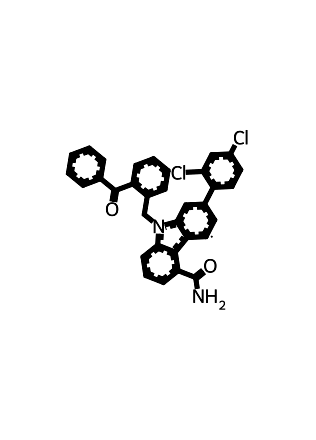 NC(=O)c1cccc2c1c1[c]cc(-c3ccc(Cl)cc3Cl)cc1n2Cc1ccccc1C(=O)c1ccccc1